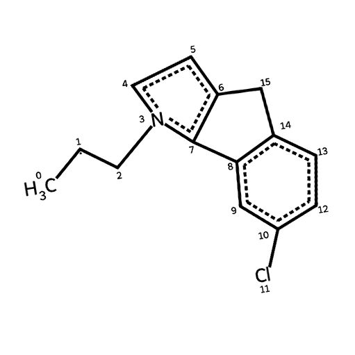 C[CH]Cn1ccc2c1-c1cc(Cl)ccc1C2